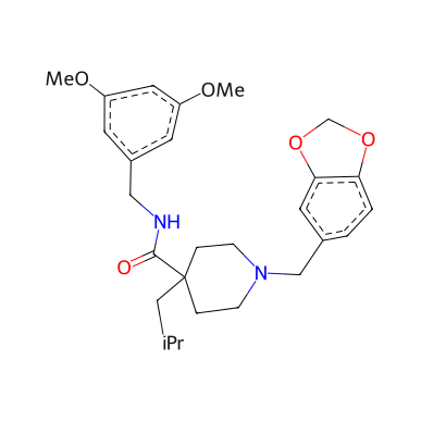 COc1cc(CNC(=O)C2(CC(C)C)CCN(Cc3ccc4c(c3)OCO4)CC2)cc(OC)c1